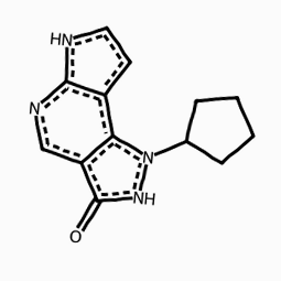 O=c1[nH]n(C2CCCC2)c2c1cnc1[nH]ccc12